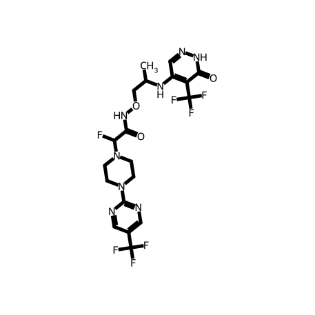 CC(CONC(=O)C(F)N1CCN(c2ncc(C(F)(F)F)cn2)CC1)Nc1cn[nH]c(=O)c1C(F)(F)F